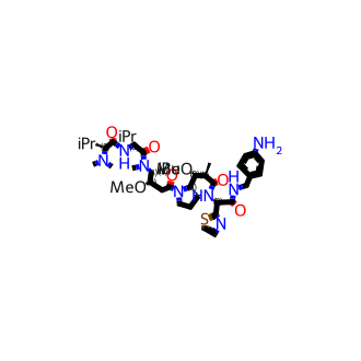 CC[C@H](C)[C@@H]([C@@H](CC(=O)N1CCC[C@H]1[C@H](OC)[C@@H](C)C(=O)N[C@H](C(=O)NCc1ccc(N)cc1)c1nccs1)OC)N(C)C(=O)[C@@H](NC(=O)[C@H](C(C)C)N(C)C)C(C)C